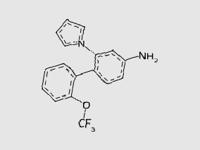 Nc1ccc(-c2ccccc2OC(F)(F)F)c(-n2cccc2)c1